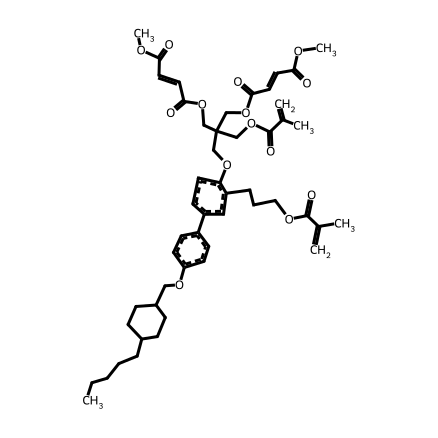 C=C(C)C(=O)OCCCc1cc(-c2ccc(OCC3CCC(CCCCC)CC3)cc2)ccc1OCC(COC(=O)/C=C/C(=O)OC)(COC(=O)/C=C/C(=O)OC)COC(=O)C(=C)C